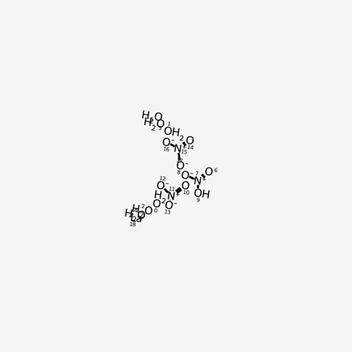 O.O.O.O.O.O.O=[N+]([O-])O.O=[N+]([O-])[O-].O=[N+]([O-])[O-].[La]